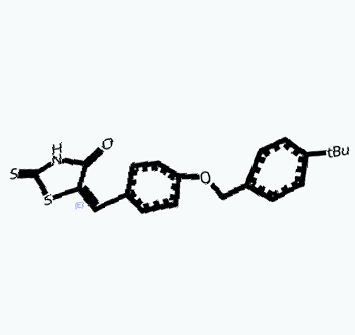 CC(C)(C)c1ccc(COc2ccc(/C=C3/SC(=S)NC3=O)cc2)cc1